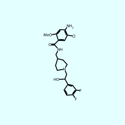 COc1cc(N)c(Cl)cc1C(=O)NCC1CCN(CC(O)c2ccc(F)c(F)c2)CC1